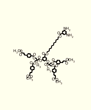 COC(=O)C=Cc1ccc(C(=O)OCC(C)(COC(=O)c2ccc(C=CC(=O)OC)cc2)C(=O)Oc2cc(OC(=O)C(C)(COC(=O)c3ccc(C=CC(=O)OC)cc3)COC(=O)c3ccc(C=CC(=O)OC)cc3)cc(C(=O)OCCCCCCCCCCCOC(=O)c3cc(N)cc(N)c3)c2)cc1